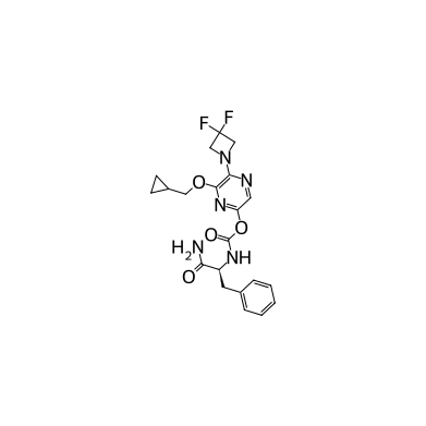 NC(=O)[C@H](Cc1ccccc1)NC(=O)Oc1cnc(N2CC(F)(F)C2)c(OCC2CC2)n1